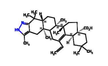 C=CC1=C2[C@@H]3CC(C)(C)CC[C@]3(C(=O)O)CC[C@@]2(C)[C@]2(C)CC[C@H]3C(C)(C)c4n[nH]c(C)c4C[C@]3(C)C2C1